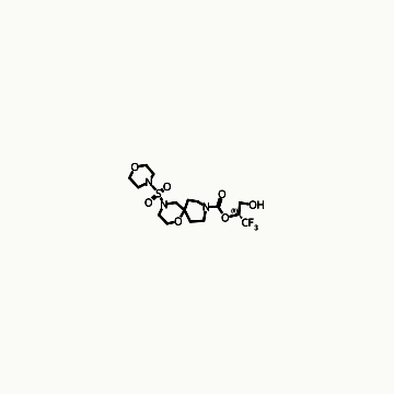 O=C(O[C@H](CO)C(F)(F)F)N1CCC2(CC1)CN(S(=O)(=O)N1CCOCC1)CCO2